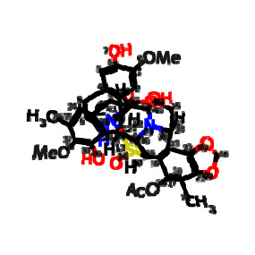 COc1cc2c(cc1O)CCN[C@]21C[S+]([O-])[C@@H]2c3c(OC(C)=O)c(C)c4c(c3[C@H](COC1=O)N1[C@@H]2[C@@H]2c3c(cc(C)c(OC)c3O)C[C@H]([C@@H]1O)N2C)OCO4